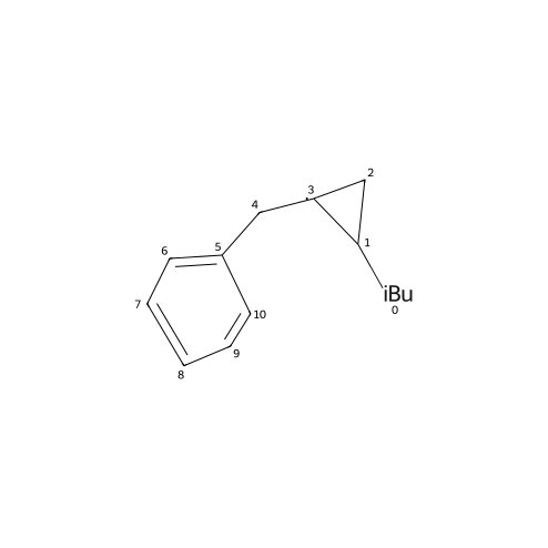 CCC(C)C1C[C]1Cc1ccccc1